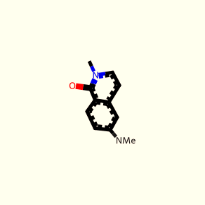 CNc1ccc2c(=O)n(C)ccc2c1